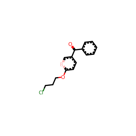 O=C(c1cbc(OCCCCl)cc1)c1ccccc1